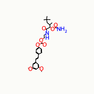 COc1cc(C=Cc2ccc(OC(=O)OCCNC(=O)C(OC(N)=O)C(C)CC(C)(C)C)cc2)cc(OC)c1